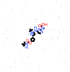 CN(C(=O)O)c1nccc(Nc2cc([C@H]3CC[C@@H](OC(=O)NC4(C)CC4)C3)nn2C(C)(C)C)n1